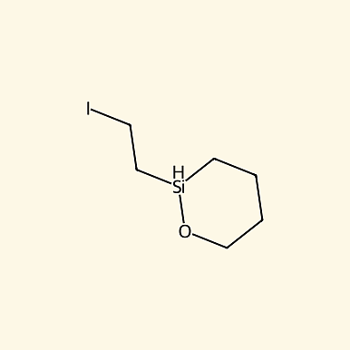 ICC[SiH]1CCCCO1